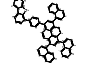 c1ccc2c(-c3cc(-c4ccc(-c5cccc6c5oc5ccccc56)cc4)c4ccc5c(-c6cccc7ccccc67)cc(-c6cccc7ccccc67)c6c5c4c3CC6)cccc2c1